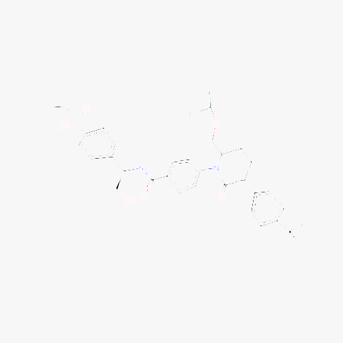 CCS(=O)(=O)c1ccc([C@H](CO)NC(=O)c2ccc(N3C(=O)[C@@H](c4ccc(C(F)(F)F)cc4)CCC3COC(F)F)cc2)cc1